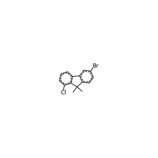 CC1(C)c2ccc(Br)cc2-c2cccc(Cl)c21